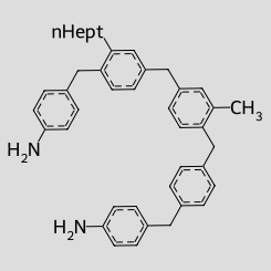 CCCCCCCc1cc(Cc2ccc(Cc3ccc(Cc4ccc(N)cc4)cc3)c(C)c2)ccc1Cc1ccc(N)cc1